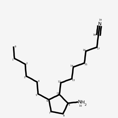 CCCCCCC1CCC(N)C1CCCCCCC#N